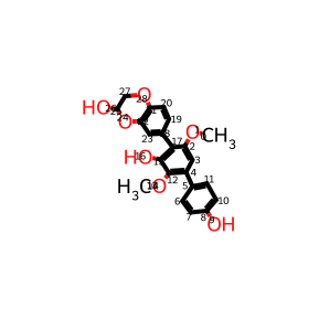 COc1cc(-c2ccc(O)cc2)c(OC)c(O)c1-c1ccc2c(c1)OC(O)CO2